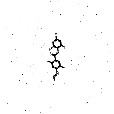 C/C=N/c1cc(C)c(C(=S)Cc2c(F)cc(F)cc2F)cc1C